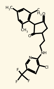 Cc1cc(C)c(C2C(=O)CC(CCNc3ncc(C(F)(F)F)cc3Cl)C2=O)c(C)c1